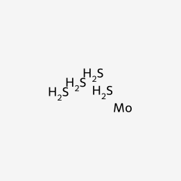 S.S.S.S.[Mo]